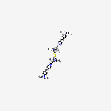 CN(C)c1ccc(/C=C/c2cc[n+](CCCC[N+](C)(C)CCSSCC[N+](C)(C)CCCC[n+]3ccc(/C=C/c4ccc(N(C)C)cc4)cc3)cc2)cc1